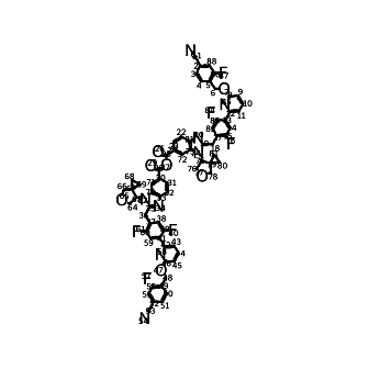 N#Cc1ccc(COc2cccc(-c3cc(F)c(Cc4nc5ccc(C(=O)OC(=O)c6ccc7nc(Cc8cc(F)c(-c9cccc(OCc%10ccc(C#N)cc%10F)n9)cc8F)n(C8COCC89CC9)c7c6)cc5n4C4COCC45CC5)cc3F)n2)c(F)c1